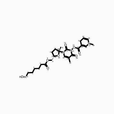 CCCCCCCCCCCCCCCC(=O)OC[C@@H]1CC[C@](C)(n2cc(C)c(=O)n(OC(=O)C3=CN(C)C=CC3)c2=O)O1